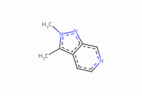 Cc1c2c[c]ncc2nn1C